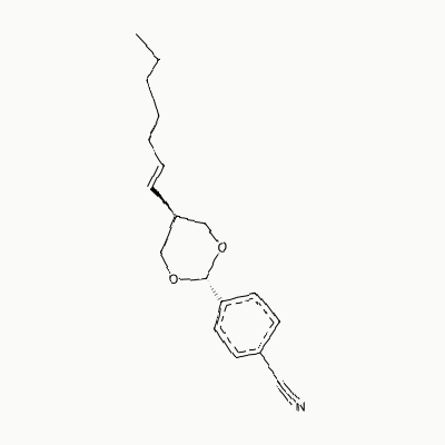 CCCCCC=C[C@H]1CO[C@H](c2ccc(C#N)cc2)OC1